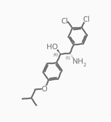 CC(C)COc1ccc([C@@H](O)[C@@H](N)c2ccc(Cl)c(Cl)c2)cc1